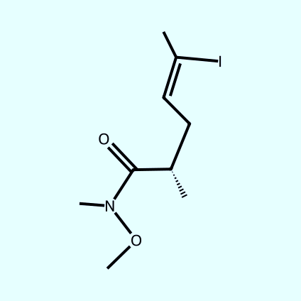 CON(C)C(=O)[C@@H](C)C/C=C(/C)I